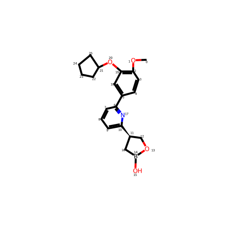 COc1ccc(-c2cccc([C@H]3COB(O)C3)n2)cc1OC1CCCC1